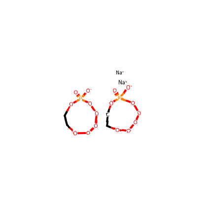 O=P1([O-])OCCOOOOO1.O=P1([O-])OCCOOOOO1.[Na+].[Na+]